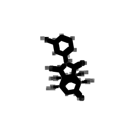 O=C1C[C@@H]2CC[C@H]1[C@@H]1C(=O)N(c3cccc(F)c3)C(=O)[C@H]21